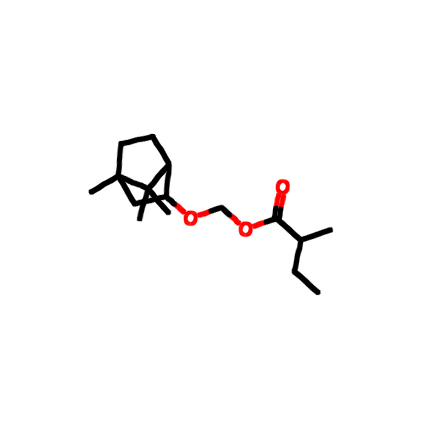 CCC(C)C(=O)OCOC1CC2(C)CCC1C2(C)C